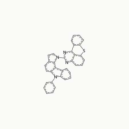 c1ccc(-n2c3ccccc3c3c4c(ccc32)ccn4-c2nc3c4c(cccc4n2)Sc2ccccc2-3)cc1